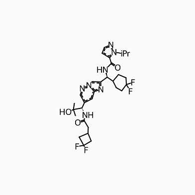 CC(C)n1nccc1C(=O)N[C@H](c1cn2ncc([C@H](NC(=O)CC3CC(F)(F)C3)C(C)(C)O)cc2n1)C1CCC(F)(F)CC1